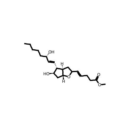 CCCCC[C@H](O)/C=C/[C@@H]1[C@H]2CC(/C=C/CCC(=O)OC)O[C@@H]2C[C@H]1O